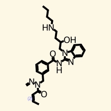 C=NN(Cc1cccc(C(=O)Nc2nc3ccccc3n2CC(O)CCNCCCC)c1)C(=O)/C=C\C